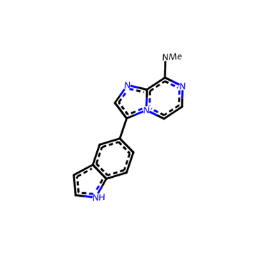 CNc1nccn2c(-c3ccc4[nH]ccc4c3)cnc12